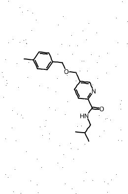 Cc1ccc(COCc2ccc(C(=O)NCC(C)C)nc2)cc1